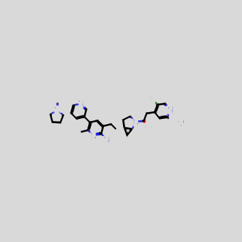 COc1cc([C@@H](C)C(=O)N2CC[C@]3(CCc4cc(-c5cncc([C@@H]6CCCN6C)c5)c(C)nc4N)CC23)c(F)cn1